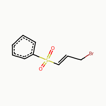 O=S(=O)(C=CCBr)c1ccccc1